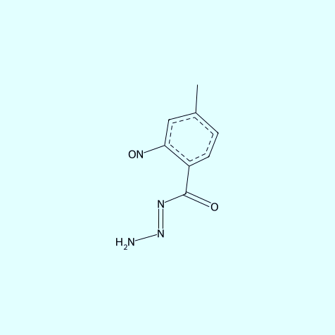 Cc1ccc(C(=O)N=NN)c(N=O)c1